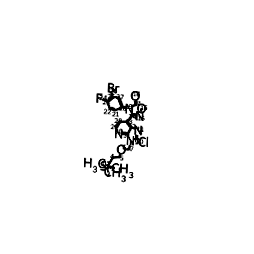 C[Si](C)(C)CCOCn1c(Cl)nc2c(-c3noc(=O)n3-c3ccc(F)c(Br)c3)ccnc21